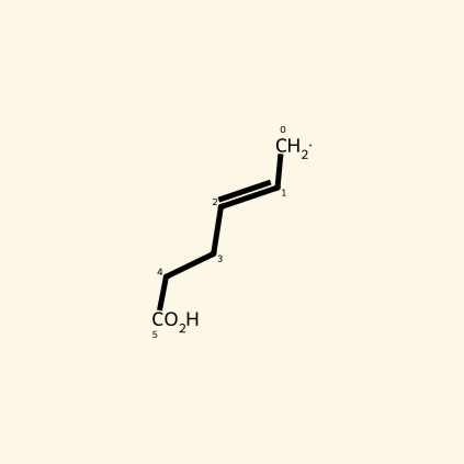 [CH2]/C=C/CCC(=O)O